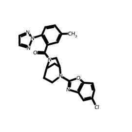 Cc1ccc(-n2nccn2)c(C(=O)N2CC3CC2CCN3c2nc3cc(Cl)ccc3o2)c1